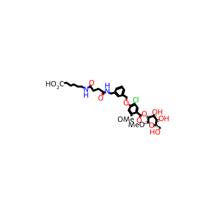 COc1cc(OCc2cccc(CNC(=O)CCC(=O)NCCCCCC(=O)O)c2)c(Cl)cc1C(=O)O[C@H]1[C@@H](OC)O[C@H](CO)[C@@H](O)[C@@H]1O